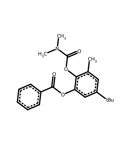 Cc1cc(C(C)(C)C)cc(OC(=O)c2ccccc2)c1OC(=O)N(C)C